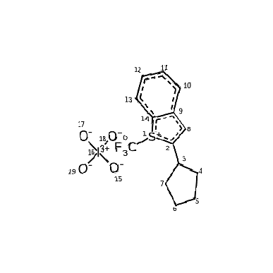 FC(F)(F)[s+]1c(C2CCCC2)cc2ccccc21.[O-][I+3]([O-])([O-])[O-]